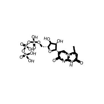 Cc1cc(=O)[nH]c2nc(=O)c([C@@H]3O[C@H](COP(=O)(O)OP(=O)(O)OP(=O)(O)O)C(O)[C@@H]3O)cn12